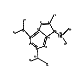 CC1=Cc2c(C(C)C)cc(C(C)C)cc2[CH]1[Hf]([CH3])[CH3]